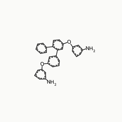 Nc1cccc(Oc2cccc(-c3cc(Oc4cccc(N)c4)ccc3-c3ccccc3)c2)c1